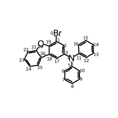 Brc1cc(N(c2ccccc2)c2ccccc2)cc2c1oc1ccccc12